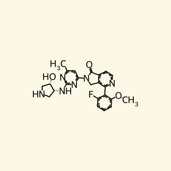 COc1cccc(F)c1-c1nccc2c1CN(c1cc(C)nc(N[C@@H]3CNC[C@@H]3O)n1)C2=O